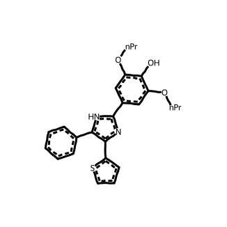 CCCOc1cc(-c2nc(-c3cccs3)c(-c3ccccc3)[nH]2)cc(OCCC)c1O